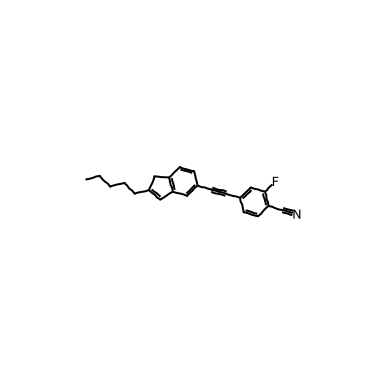 CCCCCC1=Cc2cc(C#Cc3ccc(C#N)c(F)c3)ccc2C1